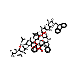 CC(C)C[C@H](NC(=O)[C@H](C)N(C)C(=O)OCC1c2ccccc2-c2ccccc21)C(=O)N(C)[C@@H](CC(C)C)C(=O)N[C@@H](C)C(=O)N(C)[C@@H](Cc1ccccc1)C(=O)NCC(=O)N(C)[C@@H](C)C(=O)N[C@@H](CC(C)C)C(=O)N(C)[C@@H](Cc1ccccc1)C(=O)N(C)[C@@H](C)C(=O)N[C@@H](C)C(=O)N(C)[C@@H](CC(C)C)C(=O)N[C@@H](C)C(=O)N(C)[C@H](C(=O)N(C)CC(=O)O)C(C)C